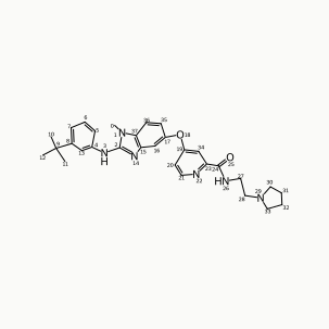 Cn1c(Nc2cccc(C(C)(C)C)c2)nc2cc(Oc3ccnc(C(=O)NCCN4CCCC4)c3)ccc21